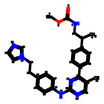 CC(CNC(=O)OC(C)(C)C)c1ccc(-c2nc(Nc3ccc(CCn4ccnc4)cc3)ncc2C#N)cc1